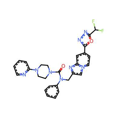 O=C(N1CCN(c2ccccn2)CC1)N(Cc1cn2ccc(-c3nnc(C(F)F)o3)cc2n1)c1ccccc1